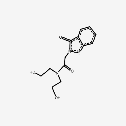 O=C(Cn1sc2ccccc2c1=O)N(CCO)CCO